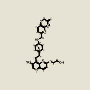 N#Cc1cnc2ccc(OCCO)nc2c1CCC12CCC(NCc3ccc4c(n3)NC(=O)CO4)(CC1)CO2